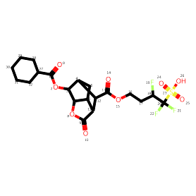 O=C(OC1C2CC3C1OC(=O)C3C2C(=O)OCCC(F)C(F)(F)S(=O)(=O)O)C1CCCCC1